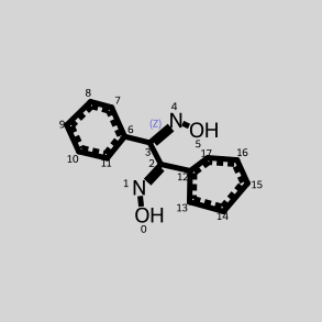 ON=C(/C(=N\O)c1ccccc1)c1ccccc1